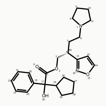 O=C(OC[C@H](CCN1CCCC1)c1ccon1)C(O)(c1ccccc1)C1CCCC1